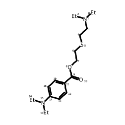 CCN(CC)CCSCCOC(=O)c1ccc(N(CC)CC)cc1